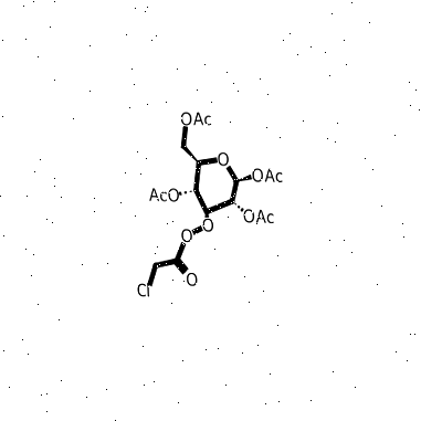 CC(=O)OC[C@H]1O[C@@H](OC(C)=O)[C@H](OC(C)=O)[C@@H](OOC(=O)CCl)[C@@H]1OC(C)=O